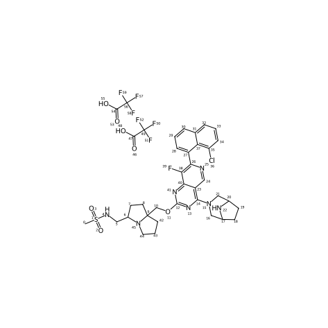 CS(=O)(=O)NCC1CCC2(COc3nc(N4CC5CCC(C4)N5)c4cnc(-c5cccc6cccc(Cl)c56)c(F)c4n3)CCCN12.O=C(O)C(F)(F)F.O=C(O)C(F)(F)F